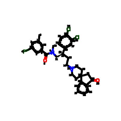 Cc1cc(F)cc(C(=O)N(C)C[C@@H](CCN2CCC3(CC2)CC(=O)c2ccccc23)c2ccc(Cl)c(Cl)c2)c1